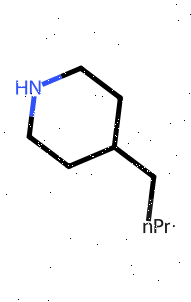 CC[CH]CC1CCNCC1